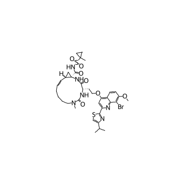 COc1ccc2c(OCC[C@@H]3NC(=O)N(C)CCCCC=C[C@@H]4C[C@@]4(C(=O)NS(=O)(=O)C4(C)CC4)NC3=O)cc(-c3nc(C(C)C)cs3)nc2c1Br